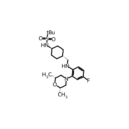 C[C@@H]1CN(c2cc(F)ccc2NC[C@H]2CC[C@H](NS(=O)(=O)C(C)(C)C)CC2)C[C@H](C)O1